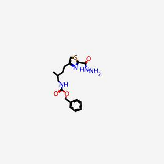 CC(CCc1csc(C(=O)NN)n1)CNC(=O)OCc1ccccc1